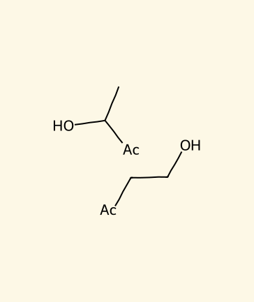 CC(=O)C(C)O.CC(=O)CCO